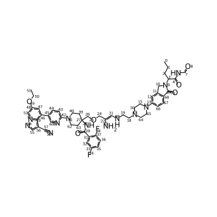 CCCC(C(=O)NC=O)N1Cc2cc(N3CCN(CCN/C=C(\N)COCC4(NC(=O)c5cc(F)ccc5F)CCN(c5ccc(-c6cc(OCC)cn7ncc(C#N)c67)cn5)CC4)CC3)ccc2C1=O